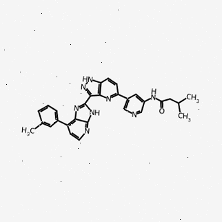 Cc1cccc(-c2ccnc3[nH]c(-c4n[nH]c5ccc(-c6cncc(NC(=O)CC(C)C)c6)nc45)nc23)c1